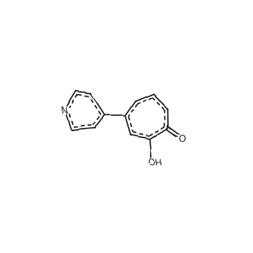 O=c1cccc(-c2ccncc2)cc1O